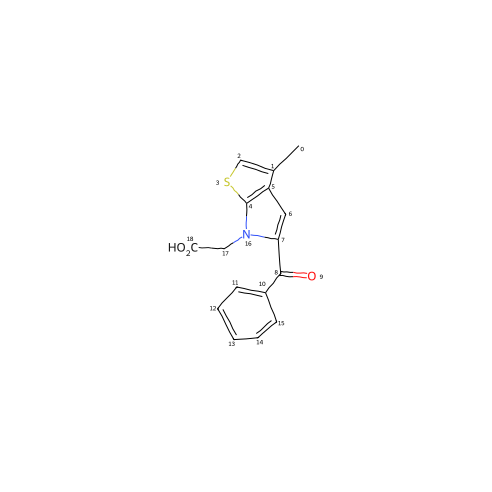 Cc1csc2c1cc(C(=O)c1ccccc1)n2CC(=O)O